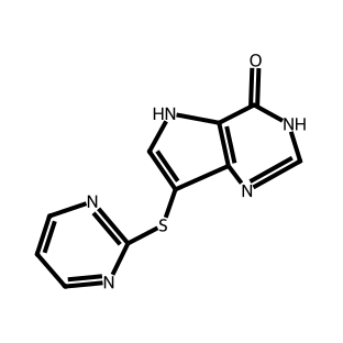 O=c1[nH]cnc2c(Sc3ncccn3)c[nH]c12